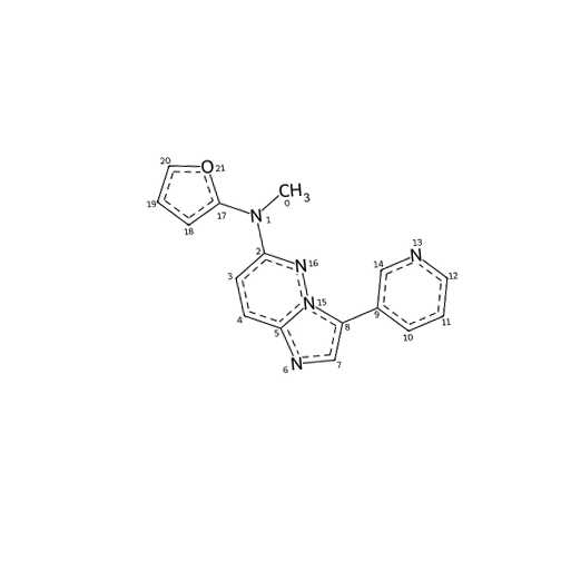 CN(c1ccc2ncc(-c3cccnc3)n2n1)c1ccco1